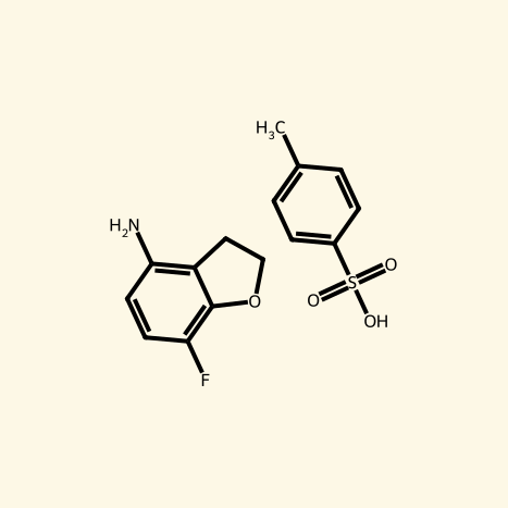 Cc1ccc(S(=O)(=O)O)cc1.Nc1ccc(F)c2c1CCO2